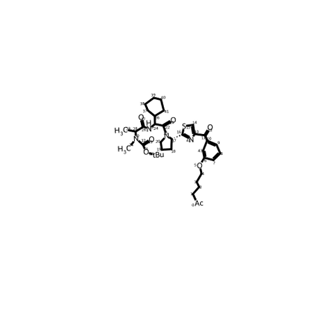 CC(=O)CCCCOc1cccc(C(=O)c2csc([C@@H]3CCCN3C(=O)C(NC(=O)C(C)N(C)C(=O)OC(C)(C)C)C3CCCCC3)n2)c1